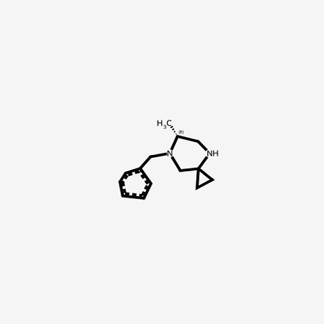 C[C@@H]1CNC2(CC2)CN1Cc1ccccc1